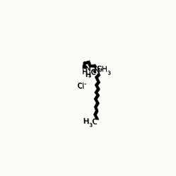 CCCCCCCCCCCCCC[N+](C)(C)CC1CCCN1.[Cl-]